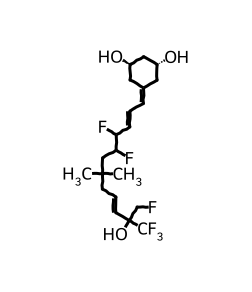 CC(C)(CC=CC(O)(CF)C(F)(F)F)CC(F)C(F)C=CC=C1C[C@@H](O)C[C@H](O)C1